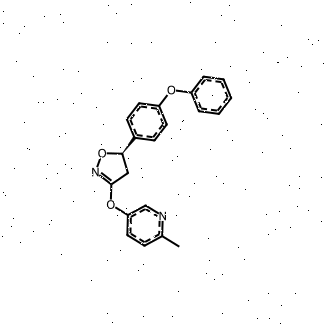 Cc1ccc(OC2=NO[C@@H](c3ccc(Oc4ccccc4)cc3)C2)cn1